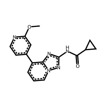 COc1cc(-c2cccn3nc(NC(=O)C4CC4)nc23)ccn1